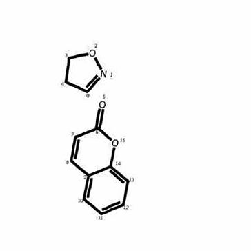 C1=NOCC1.O=c1ccc2ccccc2o1